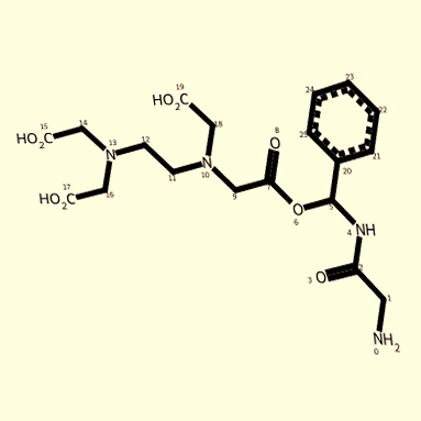 NCC(=O)NC(OC(=O)CN(CCN(CC(=O)O)CC(=O)O)CC(=O)O)c1ccccc1